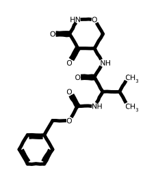 CC(C)C(NC(=O)OCc1ccccc1)C(=O)NC1CONC(=O)C1=O